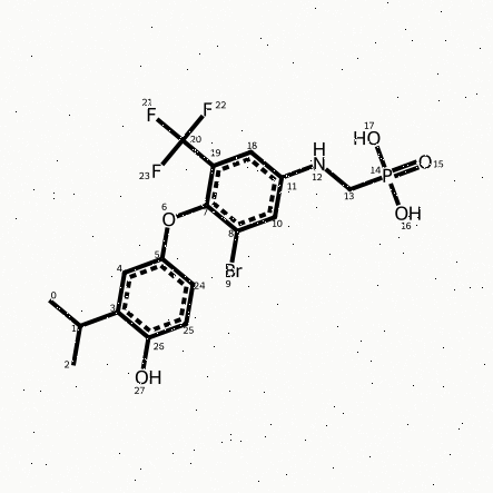 CC(C)c1cc(Oc2c(Br)cc(NCP(=O)(O)O)cc2C(F)(F)F)ccc1O